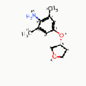 Cc1cc(O[C@@H]2CCOC2)cc(C)c1N